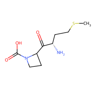 CSCC[C@H](N)C(=O)C1CCN1C(=O)O